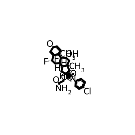 C[C@]12C=CC(=O)C=C1[C@@H](F)C[C@H]1[C@@H]3C[C@H]4CN(c5ccc(Cl)cc5)O[C@@]4(C(=O)OCC(N)=O)[C@@]3(C)C[C@H](O)[C@@]12F